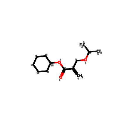 C=C(COC(C(F)(F)F)C(F)(F)F)C(=O)OC1CCCCC1